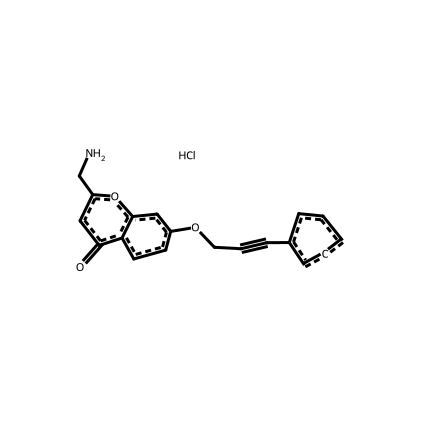 Cl.NCc1cc(=O)c2ccc(OCC#Cc3ccccc3)cc2o1